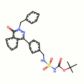 CC(C)(C)OC(=O)NS(=O)(=O)NCc1ccc(-c2nn(Cc3ccccc3)c(=O)c3ccccc23)cc1